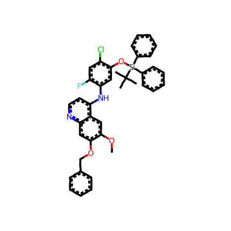 COc1cc2c(Nc3cc(O[Si](c4ccccc4)(c4ccccc4)C(C)(C)C)c(Cl)cc3F)ccnc2cc1OCc1ccccc1